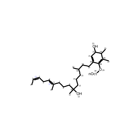 C/C=C\C/C=C(\C)CCCC(C)(O)CCCC(C)CCC1=CC(O)C(C)C(C)=C1OCCCCCCCC